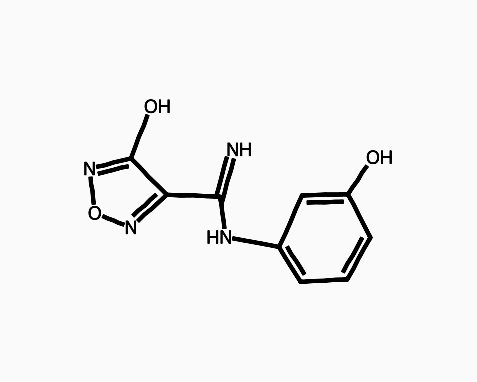 N=C(Nc1cccc(O)c1)c1nonc1O